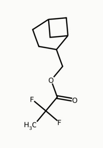 CC(F)(F)C(=O)OCC1CCC2CC1C2